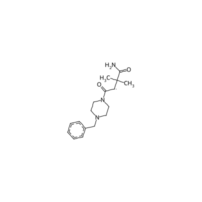 CC(C)([CH]C(=O)N1CCN(Cc2ccccc2)CC1)C(N)=O